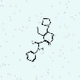 CCc1c(N2CCCC2)ccnc1C(=O)Nc1ccccc1